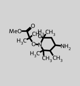 COC(=O)C(C)(C)ON1C(C)(C)CC(N)C(C)C1(C)C